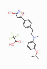 CC(C)Oc1cccc(N(C)CCc2ccc(-c3cc(O)no3)cc2)c1.O=C(O)C(F)(F)F